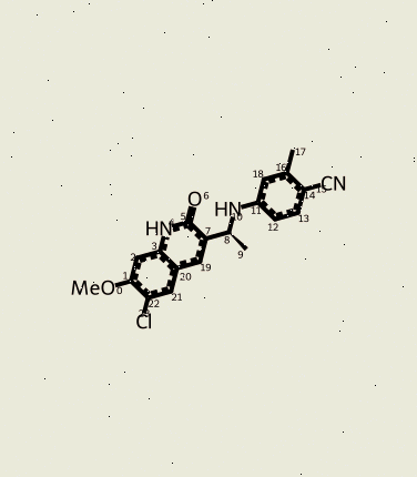 COc1cc2[nH]c(=O)c([C@H](C)Nc3ccc(C#N)c(C)c3)cc2cc1Cl